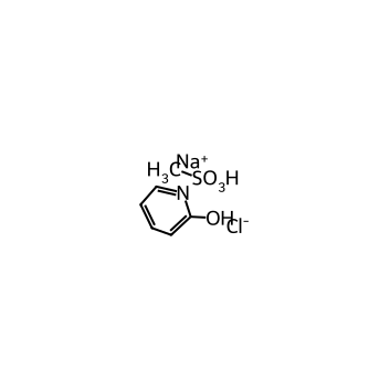 CS(=O)(=O)O.Oc1ccccn1.[Cl-].[Na+]